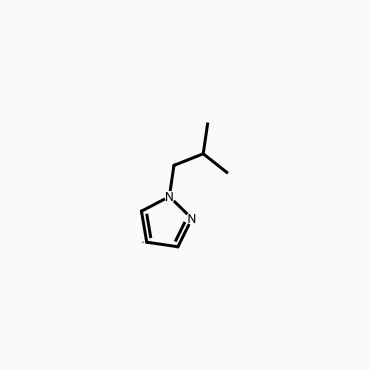 CC(C)Cn1c[c]cn1